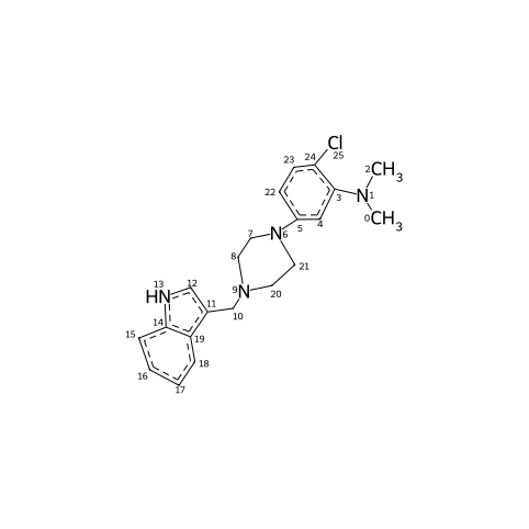 CN(C)c1cc(N2CCN(Cc3c[nH]c4ccccc34)CC2)ccc1Cl